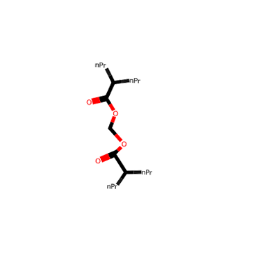 CCCC(CCC)C(=O)OCOC(=O)C(CCC)CCC